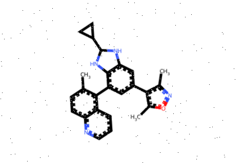 Cc1ccc2ncccc2c1-c1cc(-c2c(C)noc2C)cc2c1NC(C1CC1)N2